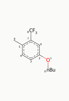 CCCCOc1ccc(C)c(C(F)(F)F)c1